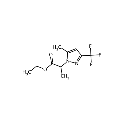 CCOC(=O)C(C)n1nc(C(F)(F)F)cc1C